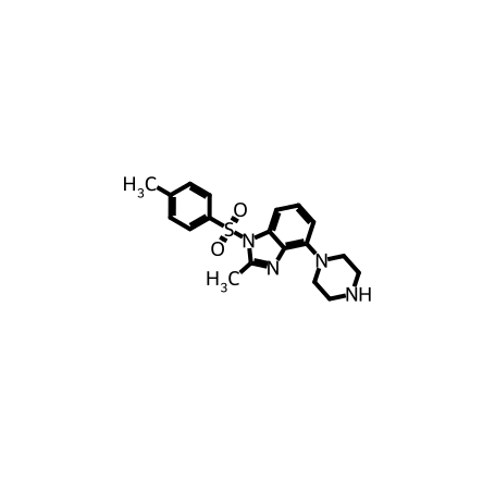 Cc1ccc(S(=O)(=O)n2c(C)nc3c(N4CCNCC4)cccc32)cc1